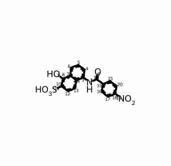 O=C(Nc1cccc2c(O)c(S(=O)(=O)O)ccc12)c1ccc([N+](=O)[O-])cc1